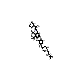 CC(C)(C)OC(=O)CN1CCC(Nc2cccc(Sc3ccc(/C=C/C(=O)N4CCOCC4)c(C(F)(F)F)c3C(F)(F)F)c2)CC1